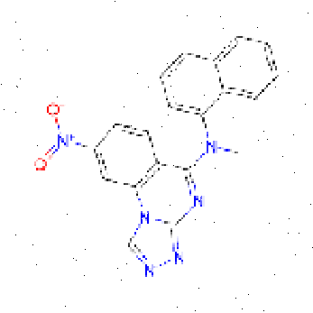 CN(c1cccc2ccccc12)c1nc2nncn2c2cc([N+](=O)[O-])ccc12